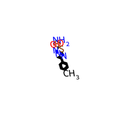 Cc1ccc(-c2cn3nc(S(N)(=O)=O)sc3n2)cc1